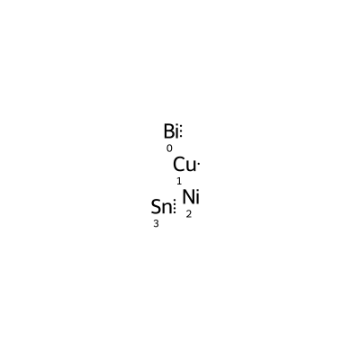 [Bi].[Cu].[Ni].[Sn]